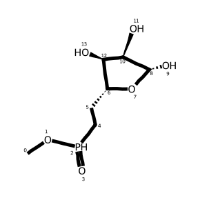 CO[PH](=O)CC[C@H]1O[C@@H](O)[C@H](O)[C@@H]1O